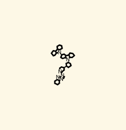 c1cc(-c2ccnc(-n3ccn4c5ccccc5nc34)c2)cc(-n2c3ccccc3c3cc(-n4c5ccccc5c5ccccc54)ccc32)c1